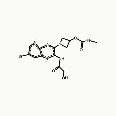 CNC(=O)OC1CN(c2nc3ncc(Br)cc3nc2NC(=O)CO)C1